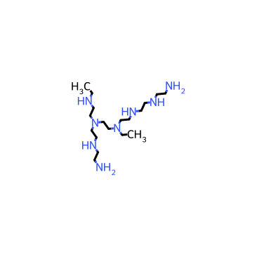 CCNCCN(CCNCCN)CCN(CC)CCNCCNCCN